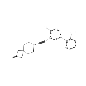 Nc1nnc(-c2ccccc2O)cc1C#CC1CCC2(CC1)CC(=O)C2